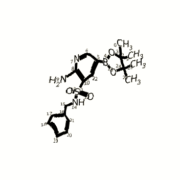 CC1(C)OB(c2cnc(N)c(S(=O)(=O)NCc3ccccc3)c2)OC1(C)C